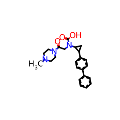 CN1CCN(C(=O)CN(C(=O)O)C2CC2c2ccc(-c3ccccc3)cc2)CC1